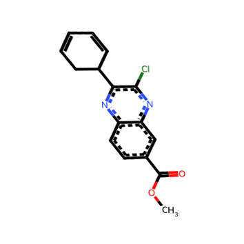 COC(=O)c1ccc2nc(C3C=CC=CC3)c(Cl)nc2c1